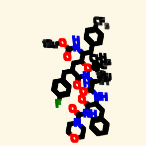 CC(C)C(NC(=O)C(Cc1ccc(F)cc1)CC(O[Si](C)(C)C(C)(C)C)C(Cc1ccc(C(F)(F)F)cc1)NC(=O)OC(C)(C)C)C(=O)NC(Cc1ccccc1)C(=O)NC(=O)N1CCOCC1